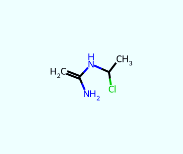 C=C(N)NC(C)Cl